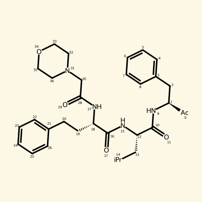 CC(=O)[C@H](Cc1ccccc1)NC(=O)[C@H](CC(C)C)NC(=O)[C@H](CCc1ccccc1)NC(=O)CN1CCOCC1